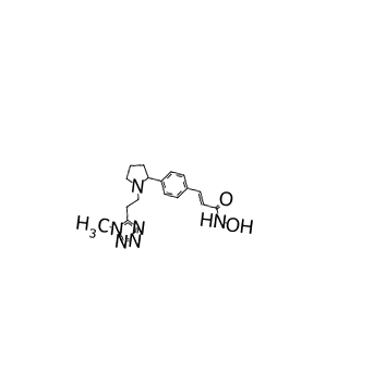 Cn1nnnc1CCN1CCCC1c1ccc(/C=C/C(=O)NO)cc1